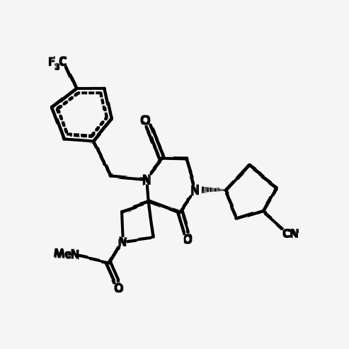 CNC(=O)N1CC2(C1)C(=O)N([C@@H]1CCC(C#N)C1)CC(=O)N2Cc1ccc(C(F)(F)F)cc1